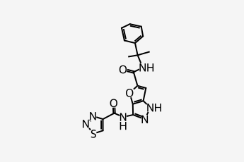 CC(C)(NC(=O)c1cc2[nH]nc(NC(=O)c3csnn3)c2o1)c1ccccc1